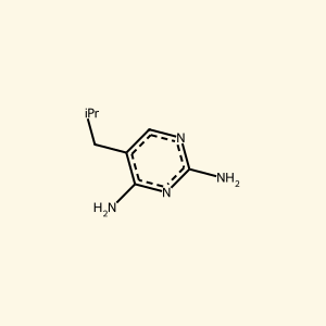 CC(C)Cc1cnc(N)nc1N